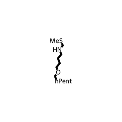 CCCCCCOCCCCNCSC